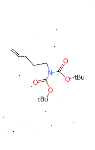 C=CCCCN(C(=O)OC(C)(C)C)C(=O)OC(C)(C)C